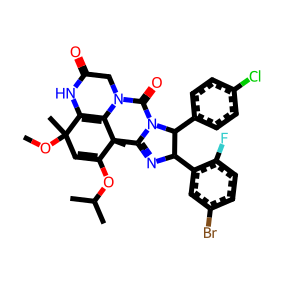 COC1(C)C=C(OC(C)C)C2(C)C3=NC(c4cc(Br)ccc4F)C(c4ccc(Cl)cc4)N3C(=O)N3CC(=O)NC1=C32